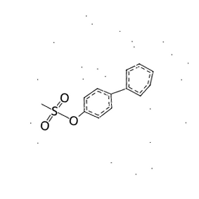 CS(=O)(=O)Oc1ccc(-c2ccccc2)cc1